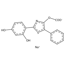 O=C([O-])Oc1nc(-c2ccc(O)cc2O)sc1-c1ccccc1.[Na+]